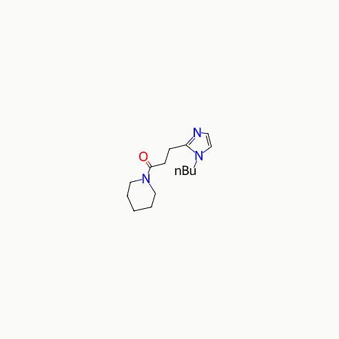 CCCCn1ccnc1CCC(=O)N1CCCCC1